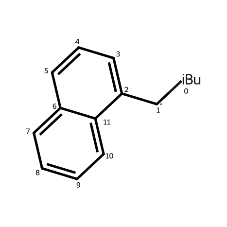 [CH2]CC(C)[CH]c1cccc2ccccc12